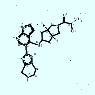 C[C@H](O)C(=O)N1C[C@H]2CC(Nc3c(-c4nc5c(s4)CNCC5)cnc4[nH]ccc34)C[C@H]2C1